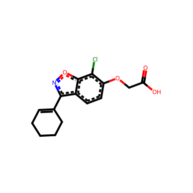 O=C(O)COc1ccc2c(C3=CCCCC3)noc2c1Cl